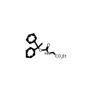 CCOC(=O)CNC(=O)OC(C)(c1ccccc1)c1ccccc1